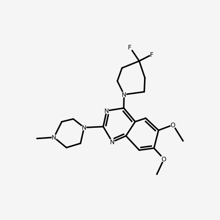 COc1cc2nc(N3CCN(C)CC3)nc(N3CCC(F)(F)CC3)c2cc1OC